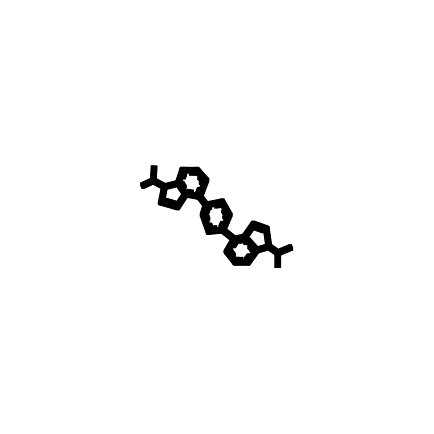 CC(C)C1C=Cc2c(-c3ccc(-c4cccc5c4C=CC5C(C)C)cc3)cccc21